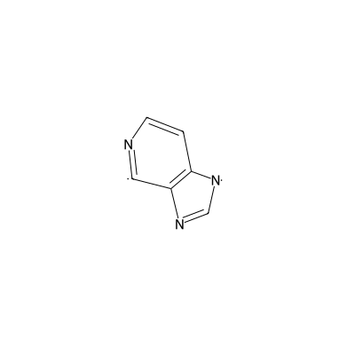 [c]1nccc2c1N=C[N]2